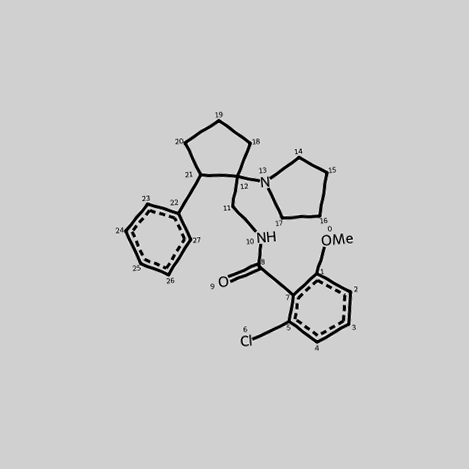 COc1cccc(Cl)c1C(=O)NCC1(N2CCCC2)CCCC1c1ccccc1